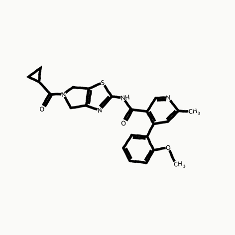 COc1ccccc1-c1cc(C)ncc1C(=O)Nc1nc2c(s1)CN(C(=O)C1CC1)C2